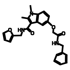 Cc1c(C(=O)NCc2ccco2)c2cc(OCC(=O)NCc3ccccc3)ccc2n1C